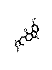 COc1ccc2c(c1)c1c(n2C)CCC(Cc2nc[nH]c2C)C1=O